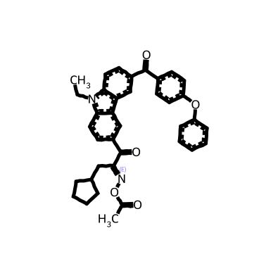 CCn1c2ccc(C(=O)/C(CC3CCCC3)=N/OC(C)=O)cc2c2cc(C(=O)c3ccc(Oc4ccccc4)cc3)ccc21